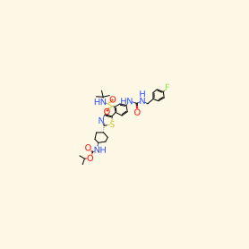 CC(C)OC(=O)N[C@H]1CC[C@H](c2ncc(-c3ccc(NC(=O)NCc4ccc(F)cc4)cc3S(=O)(=O)NC(C)(C)C)s2)CC1